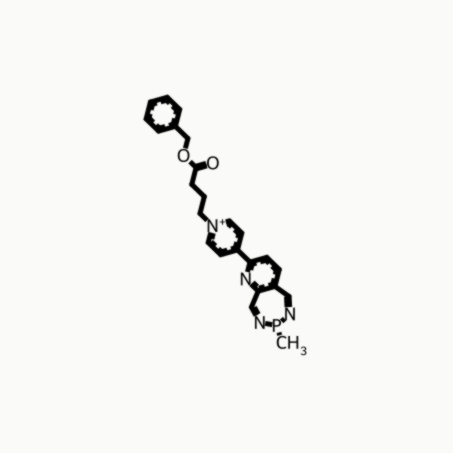 CP1N=Cc2ccc(-c3cc[n+](CCCC(=O)OCc4ccccc4)cc3)nc2C=N1